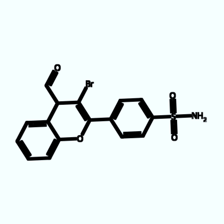 NS(=O)(=O)c1ccc(C2=C(Br)C(C=O)c3ccccc3O2)cc1